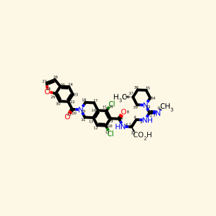 C/N=C(/NC[C@H](NC(=O)c1c(Cl)cc2c(c1Cl)CCN(C(=O)c1ccc3ccoc3c1)C2)C(=O)O)N1CCC[C@@H](C)C1